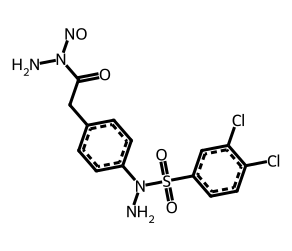 NN(N=O)C(=O)Cc1ccc(N(N)S(=O)(=O)c2ccc(Cl)c(Cl)c2)cc1